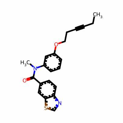 CCC#CCCOc1cccc(N(C)C(=O)c2ccc3ncsc3c2)c1